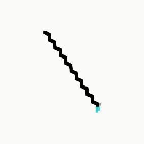 CCCCCCCCCCCCCCCCCCC[CH]F